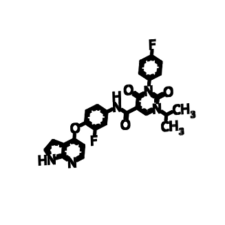 CC(C)n1cc(C(=O)Nc2ccc(Oc3ccnc4[nH]ccc34)c(F)c2)c(=O)n(-c2ccc(F)cc2)c1=O